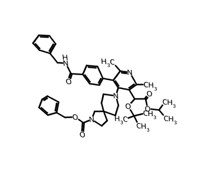 Cc1nc(C)c(C(OC(C)(C)C)C(=O)OC(C)C)c(N2CCC3(CCN(C(=O)OCc4ccccc4)C3)CC2)c1-c1ccc(C(=O)NCc2ccccc2)cc1